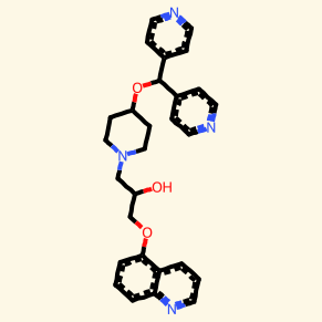 OC(COc1cccc2ncccc12)CN1CCC(OC(c2ccncc2)c2ccncc2)CC1